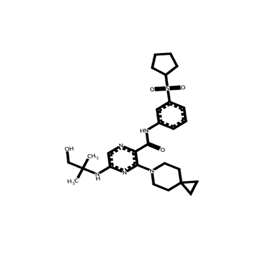 CC(C)(CO)Nc1cnc(C(=O)Nc2cccc(S(=O)(=O)C3CCCC3)c2)c(N2CCC3(CC2)CC3)n1